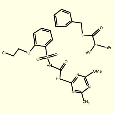 CCCN(CCC)C(=O)SCc1ccccc1.COc1nc(C)nc(NC(=O)NS(=O)(=O)c2ccccc2OCCCl)n1